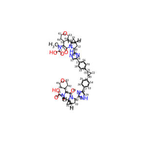 CN(C(=O)O)[C@H](C(=O)N1[C@@H]2C[C@@H]2C[C@H]1c1nc(-c2ccc([C@H]3C[C@@H]3c3ccc(-c4c[nH]c([C@@H]5C[C@H]6C[C@H]6N5C(=O)[C@H](C5CCOCC5)N(C)C(=O)O)n4)cc3)cc2)c[nH]1)C1CCOCC1